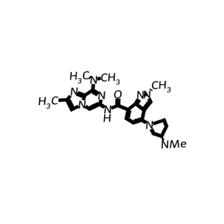 CN[C@@H]1CCN(c2ccc(C(=O)Nc3cn4cc(C)nc4c(N(C)C)n3)c3nn(C)cc23)C1